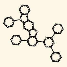 c1ccc(-c2nc(-c3ccccc3)nc(-c3ccc(-c4ccccc4)c4c3oc3cc5c6ccccc6n(-c6ccccc6)c5cc34)n2)cc1